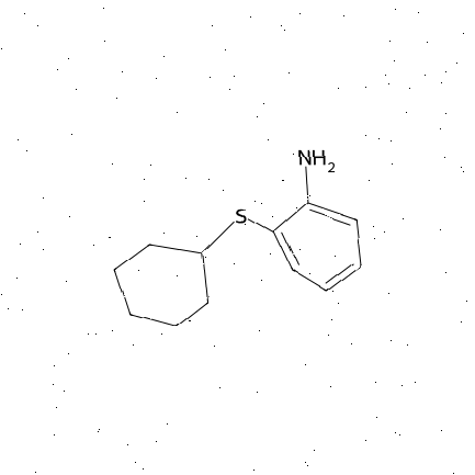 Nc1ccccc1SC1CCCCC1